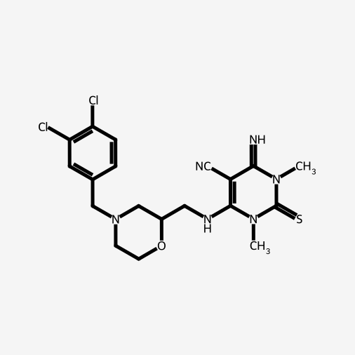 Cn1c(NCC2CN(Cc3ccc(Cl)c(Cl)c3)CCO2)c(C#N)c(=N)n(C)c1=S